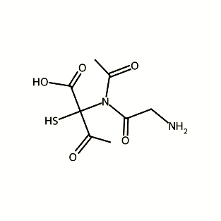 CC(=O)N(C(=O)CN)C(S)(C(C)=O)C(=O)O